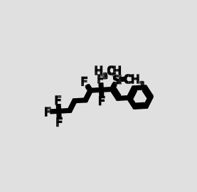 C[SiH](C)C(=Cc1ccccc1)C(F)(F)C(F)CCCC(F)(F)F